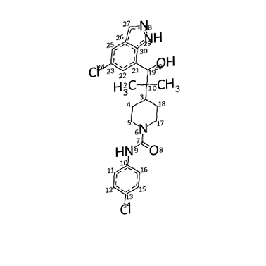 CC(C)(C1CCN(C(=O)Nc2ccc(Cl)cc2)CC1)C(O)c1cc(Cl)cc2cn[nH]c12